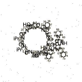 CC[C@H](C)[C@@H]1NC(=O)[C@H](CC(C)C)N(C)C(=O)[C@H](CC(C)C)N(C)C(=O)[C@H](C)N(C)C(=O)[C@H]([C@@H](C)O)NC(=O)C(Cc2ccccc2)N(C)C(=O)[C@@H](C)N(C)C(=O)C[C@@H](C(=O)N(C)[C@@H](Cc2ccccc2)C(=O)N(C)[C@@H](Cc2ccccc2)C(=O)N[C@@H](C)C(=O)N2CCCCC2)NC(=O)[C@H](C(C)C)N(C)C1=O